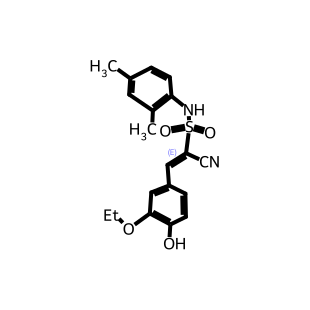 CCOc1cc(/C=C(\C#N)S(=O)(=O)Nc2ccc(C)cc2C)ccc1O